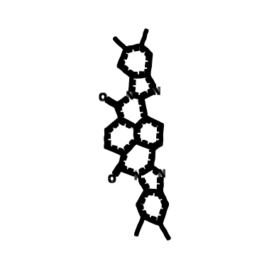 Cc1cc2nc3c4ccc5c6c(ccc(c(=O)n3c2cc1C)c46)c(=O)n1c2cc(C)c(C)cc2nc51